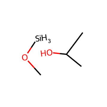 CC(C)O.CO[SiH3]